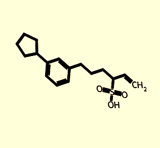 C=CC(CCCc1cccc(C2CCCC2)c1)S(=O)(=O)O